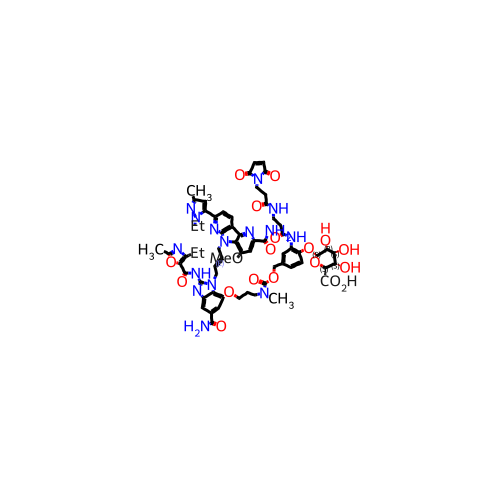 CCc1nc(C)oc1C(=O)Nc1nc2cc(C(N)=O)cc(OCCCN(C)C(=O)OCc3ccc(O[C@@H]4O[C@H](C(=O)O)[C@@H](O)[C@H](O)[C@H]4O)c(NC(=O)CCNC(=O)CCN4C(=O)C=CC4=O)c3)c2n1C/C=C/Cn1c2nc(-c3cc(C)nn3CC)ccc2c2nc(C(N)=O)cc(OC)c21